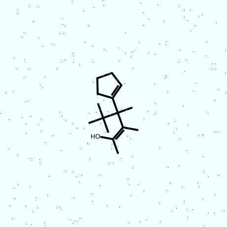 CC(O)=C(C)C(C)(C1=CCCC1)C(C)(C)C